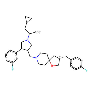 O=C(O)C(CC1CC1)N1CC(CN2CCC3(CC2)C[C@H](Cc2ccc(F)cc2)CO3)C(c2cccc(F)c2)C1